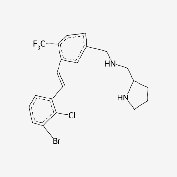 FC(F)(F)c1ccc(CNCC2CCCN2)cc1C=Cc1cccc(Br)c1Cl